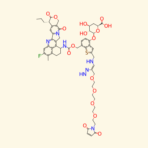 CCC[C@@H]1C(=O)OCc2c1cc1n(c2=O)Cc2c-1nc1cc(F)c(C)c3c1c2C(NC(=O)OCc1ccc(O[C@@H]2O[C@H](C(=O)O)C[C@H](O)[C@H]2O)c2cc(CN/C=C(/COCCOCCOCCOCCN4C(=O)C=CC4=O)N=N)sc12)CC3